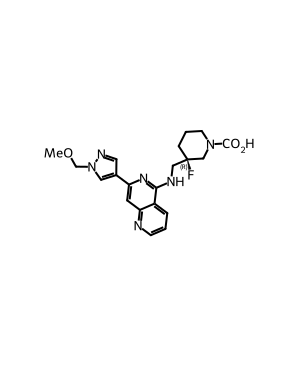 COCn1cc(-c2cc3ncccc3c(NC[C@]3(F)CCCN(C(=O)O)C3)n2)cn1